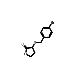 O=C1OCCC1SCc1ccc(Br)cc1